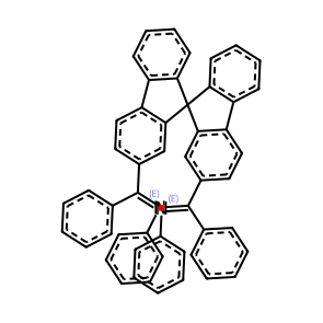 c1ccc(/N=C(\c2ccccc2)c2ccc3c(c2)C2(c4ccccc4-3)c3ccccc3-c3ccc(/C(=N/c4ccccc4)c4ccccc4)cc32)cc1